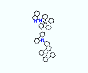 c1ccc([Si]2(c3ccccc3)c3ccccc3N(c3nccc4ccccc34)c3ccc(-c4ccc5c(c4)c4ccccc4n5-c4ccc5ccc6c(c5c4)-c4ccccc4C64c5ccccc5-c5ccccc54)cc32)cc1